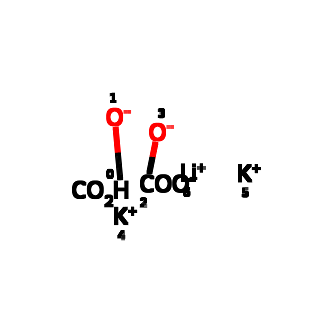 O=C([O-])O.O=C([O-])[O-].[K+].[K+].[Li+]